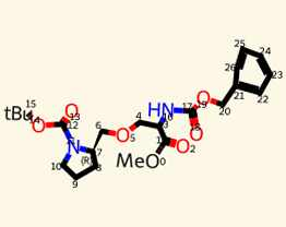 COC(=O)C(COC[C@H]1CCCN1C(=O)OC(C)(C)C)NC(=O)OCc1ccccc1